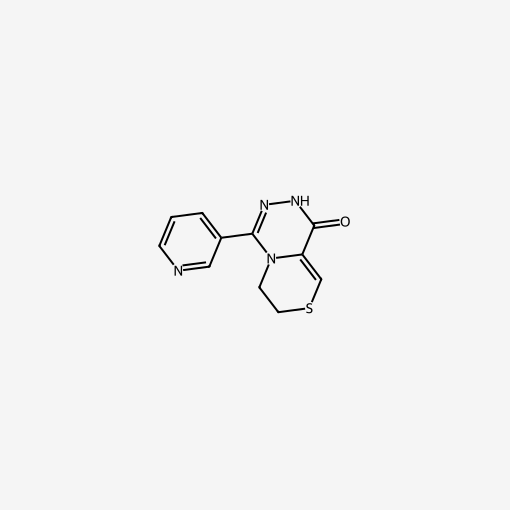 O=C1NN=C(c2cccnc2)N2CCSC=C12